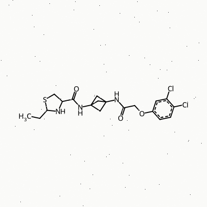 CCC1NC(C(=O)NC23CC(NC(=O)COc4ccc(Cl)c(Cl)c4)(C2)C3)CS1